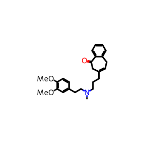 COc1ccc(CCN(C)CCCC2=CCc3ccccc3C(=O)C2)cc1OC